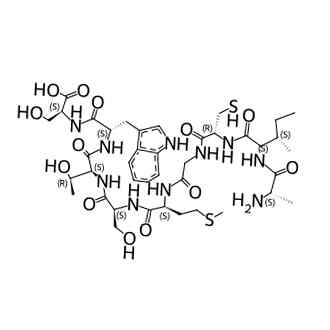 CC[C@H](C)[C@H](NC(=O)[C@H](C)N)C(=O)N[C@@H](CS)C(=O)NCC(=O)N[C@@H](CCSC)C(=O)N[C@@H](CO)C(=O)N[C@H](C(=O)N[C@@H](Cc1c[nH]c2ccccc12)C(=O)N[C@@H](CO)C(=O)O)[C@@H](C)O